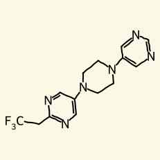 FC(F)(F)Cc1ncc(N2CCN(c3cncnc3)CC2)cn1